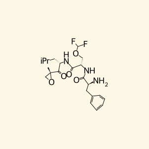 CC(C)C[C@H](NC(=O)[C@H](COC(F)F)NC(=O)[C@@H](N)Cc1ccccc1)C(=O)[C@@]1(C)CO1